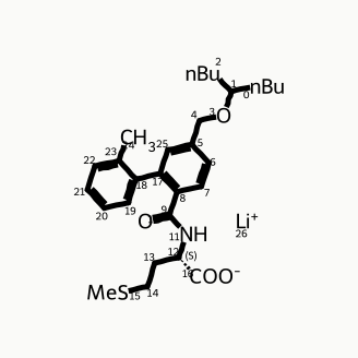 CCCCC(CCCC)OCc1ccc(C(=O)N[C@@H](CCSC)C(=O)[O-])c(-c2ccccc2C)c1.[Li+]